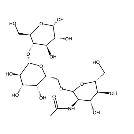 CC(=O)N[C@H]1C(OC[C@H]2O[C@@H](O[C@H]3[C@H](O)[C@@H](O)[C@@H](O)O[C@@H]3CO)[C@H](O)[C@@H](O)[C@H]2O)O[C@H](CO)[C@@H](O)[C@@H]1O